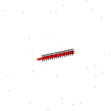 Fc1cc(F)cc(-c2c(F)cc(-c3c(F)cc(-c4c(F)cc(-c5c(F)cc(-c6c(F)cc(-c7c(F)cc(-c8c(F)cc(-c9c(F)cc(-c%10c(F)cc(-c%11c(F)cc(-c%12c(F)cc(-c%13c(F)cc(-c%14c(F)cc(-c%15c(F)cc(-c%16c(F)cc(-c%17ccc(-c%18cc[c]cc%18)cc%17)cc%16F)cc%15F)cc%14F)cc%13F)cc%12F)cc%11F)cc%10F)cc9F)cc8F)cc7F)cc6F)cc5F)cc4F)cc3F)cc2F)c1